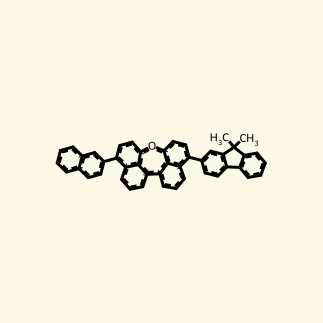 CC1(C)c2ccccc2-c2ccc(-c3ccc4oc5ccc(-c6ccc7ccccc7c6)c6cccc(c7cccc3c47)c56)cc21